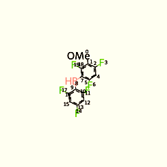 COc1c(F)cc(F)c(Bc2c(F)cc(F)cc2F)c1F